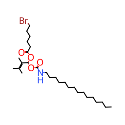 CCCCCCCCCCCCCCCNC(=O)OC(OC(=O)CCCCCBr)C(C)=C(C)C